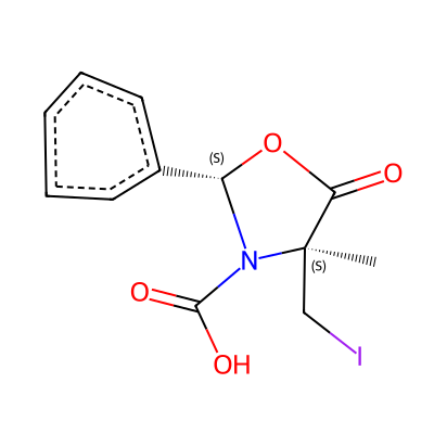 C[C@@]1(CI)C(=O)O[C@@H](c2ccccc2)N1C(=O)O